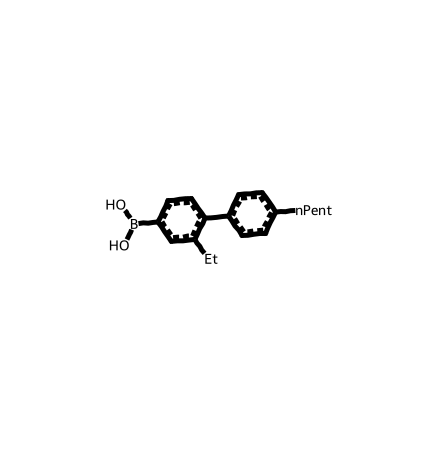 CCCCCc1ccc(-c2ccc(B(O)O)cc2CC)cc1